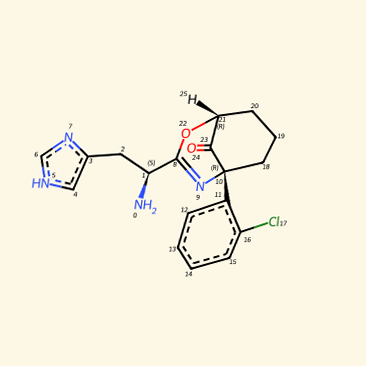 N[C@@H](Cc1c[nH]cn1)C1=N[C@@]2(c3ccccc3Cl)CCC[C@@H](O1)C2=O